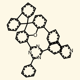 c1ccc(-c2nc(-c3ccccc3)nc(-c3cccc4c3Oc3c(-c5ccc(-c6cccnc6)cc5)cccc3C43c4ccccc4-c4ccccc43)n2)cc1